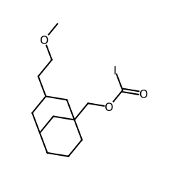 COCCC1CC2CCCC(COC(=O)I)(C2)C1